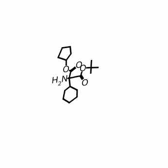 CC(C)(C)OC(=O)C(N)(C(=O)OC1CCCC1)C1CCCCC1